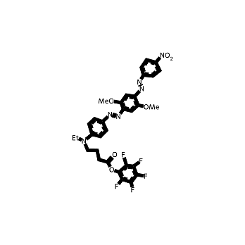 CCN(CCCC(=O)Oc1c(F)c(F)c(F)c(F)c1F)c1ccc(N=Nc2cc(OC)c(N=Nc3ccc([N+](=O)[O-])cc3)cc2OC)cc1